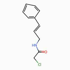 O=C(CCl)NCC=Cc1ccccc1